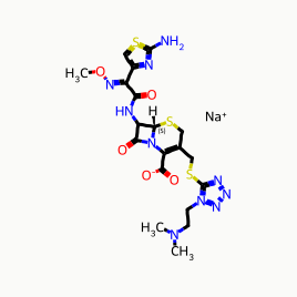 CON=C(C(=O)NC1C(=O)N2C(C(=O)[O-])=C(CSc3nnnn3CCN(C)C)CS[C@@H]12)c1csc(N)n1.[Na+]